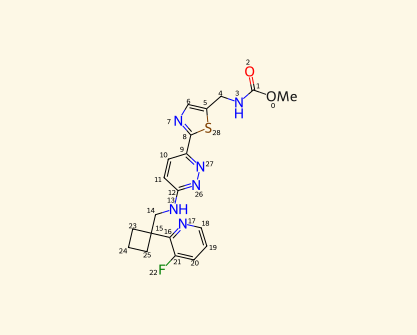 COC(=O)NCc1cnc(-c2ccc(NCC3(c4ncccc4F)CCC3)nn2)s1